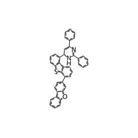 C1=C(c2ccccc2)N=C(c2ccccc2)NC1c1cccc2sc3c(-c4ccc5c(c4)oc4ccccc45)cccc3c12